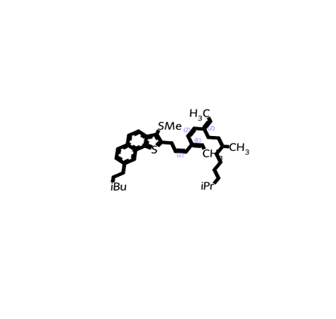 C\C=C(/C=C\C(\C=C/Cc1sc2c(ccc3ccc(CCC(C)CC)cc32)c1SC)=C\C)CCC(C)CCCCC(C)C